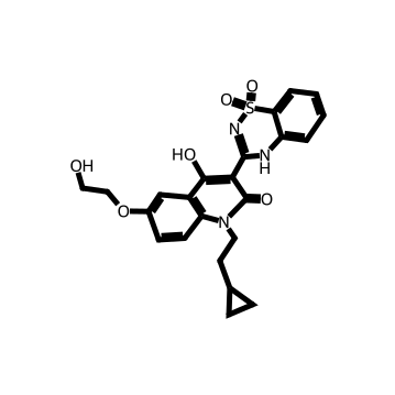 O=c1c(C2=NS(=O)(=O)c3ccccc3N2)c(O)c2cc(OCCO)ccc2n1CCC1CC1